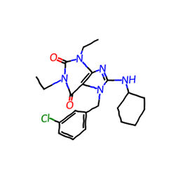 CCn1c(=O)c2c(nc(NC3CCCCC3)n2Cc2cccc(Cl)c2)n(CC)c1=O